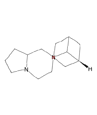 C1CC2C[C@H](C1)C2N1CCN2CCCC2C1